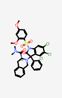 COc1ccc(S(=O)(=O)N2C(=O)C(c3ccccc3Cl)(N3Cc4ccccc4C[C@H]3C(=O)N(C)C)c3cc(Cl)c(Cl)cc32)c(OC)c1